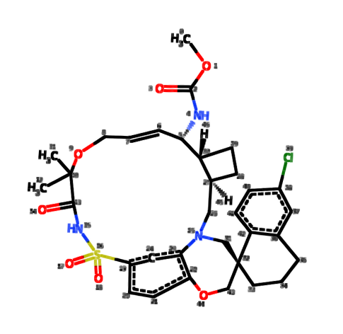 COC(=O)N[C@H]1/C=C/COC(C)(C)C(=O)NS(=O)(=O)c2ccc3c(c2)N(C[C@@H]2CC[C@H]21)C[C@@]1(CCCc2cc(Cl)ccc21)CO3